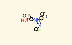 O=[N+]([O-])c1cc(NCC2(Cc3cccc(C(F)(F)F)c3)CCN(Cc3ccccc3F)C2)ccc1CO